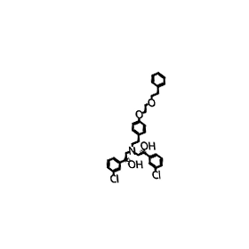 O[C@@H](CN(CCc1ccc(OCCOCCc2ccccc2)cc1)C[C@H](O)c1cccc(Cl)c1)c1cccc(Cl)c1